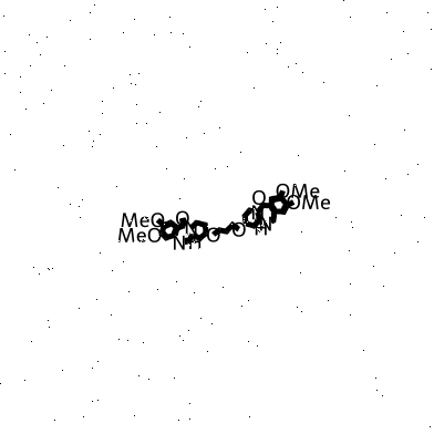 COc1cc2c(cc1OC)C(=O)N1CCC(OCCCOC3CCN4C(=O)c5cc(OC)c(OC)cc5N=C[C@@H]4C3)C[C@H]1N=C2